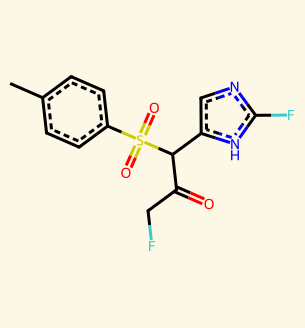 Cc1ccc(S(=O)(=O)C(C(=O)CF)c2cnc(F)[nH]2)cc1